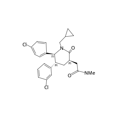 CNC(=O)C[C@H]1C[C@H](c2cccc(Cl)c2)[C@@H](c2ccc(Cl)cc2)N(CC2CC2)C1=O